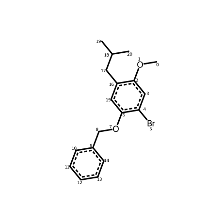 COc1cc(Br)c(OCc2ccccc2)cc1CC(C)C